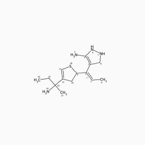 C/C=C(\C1=C(N)NNC1)C1CC(C(C)(N)CC)=CS1